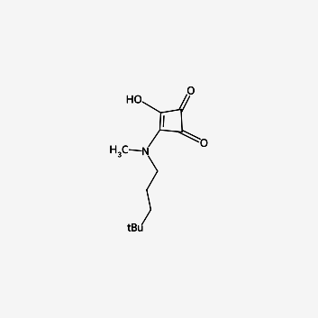 CN(CCCC(C)(C)C)c1c(O)c(=O)c1=O